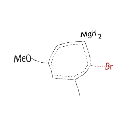 COc1ccc(Br)c(C)c1.[MgH2]